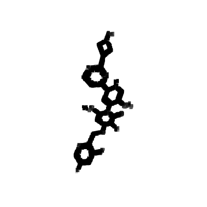 CC(=O)N1CC(c2nccc(C3C=C(n4c(C)cc(OCc5ncc(F)cc5F)c(Cl)c4=O)C(C)=CN3)n2)C1